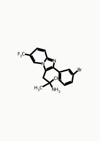 CC(C)(N)Cc1c(-c2cccc(Br)c2)nc2ccc(C(F)(F)F)cn12